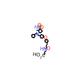 Cc1c(NS(C)(=O)=O)cccc1N(Cc1ccccc1)Cc1ccc(Oc2ccc(CCC(=O)NCCCC(=O)O)cc2)cc1